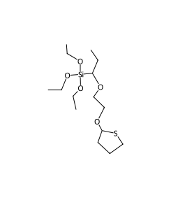 CCO[Si](OCC)(OCC)C(CC)OCCOC1CCCS1